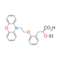 CCO[C@@H](Cc1ccccc1OCCN1c2ccccc2Oc2ccccc21)C(=O)O